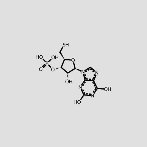 O=P(O)(O)O[C@H]1[C@@H](O)[C@H](n2cnc3c(O)nc(O)nc32)O[C@@H]1CS